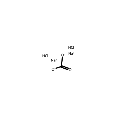 Cl.Cl.O=C([O-])[O-].[Na+].[Na+]